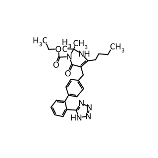 CCCCC1=C(Cc2ccc(-c3ccccc3-c3nnn[nH]3)cc2)C(=O)N(C(=O)OCC)C(C)(C)N1